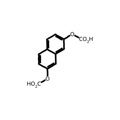 O=C(O)Oc1ccc2ccc(OC(=O)O)cc2c1